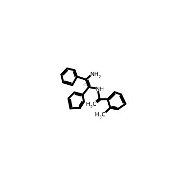 C=C(N/C(=C(\N)c1ccccc1)c1ccccc1)c1ccccc1C